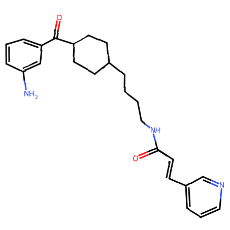 Nc1cccc(C(=O)C2CCC(CCCCNC(=O)/C=C/c3cccnc3)CC2)c1